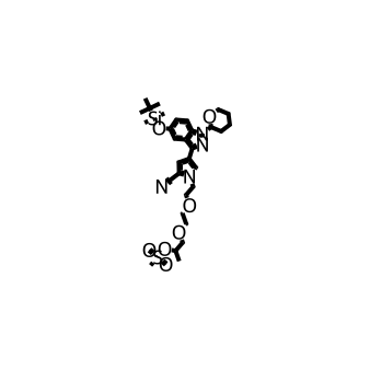 CC(COCCOCCn1cc(-c2nn(C3CCCCO3)c3ccc(O[Si](C)(C)C(C)(C)C)cc23)cc1C#N)OS(C)(=O)=O